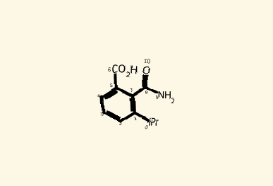 CC(C)c1cccc(C(=O)O)c1C(N)=O